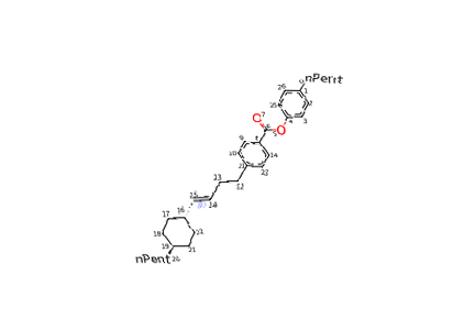 CCCCCc1ccc(OC(=O)c2ccc(CC/C=C/[C@H]3CC[C@H](CCCCC)CC3)cc2)cc1